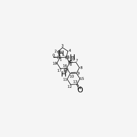 C[C@@]12CCC[C@H]1[C@@H]1CCC3=C(CCC(=O)C3)[C@H]1CC2